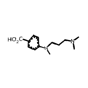 CN(C)CCCN(C)c1ccc(C(=O)O)cc1